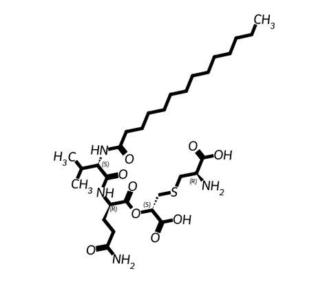 CCCCCCCCCCCCCC(=O)N[C@H](C(=O)N[C@H](CCC(N)=O)C(=O)O[C@H](CSC[C@H](N)C(=O)O)C(=O)O)C(C)C